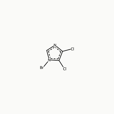 Clc1ncn(Br)c1Cl